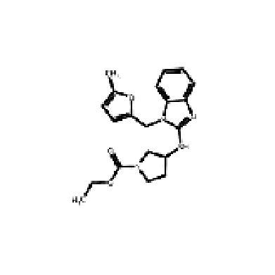 CCOC(=O)N1CCC(Nc2nc3ccccc3n2Cc2ccc(C)o2)C1